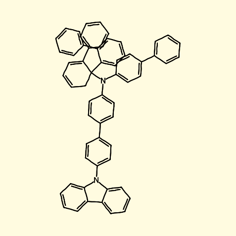 C1=CCC(c2ccccc2-c2ccccc2)(N(c2ccc(-c3ccccc3)cc2)c2ccc(-c3ccc(-n4c5ccccc5c5ccccc54)cc3)cc2)C(c2ccccc2)=C1